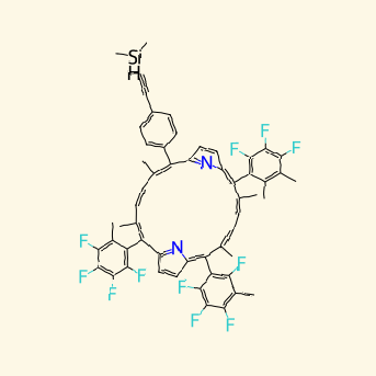 Cc1ccc(C)c(-c2c(C)c(F)c(F)c(F)c2F)c2nc(c(-c3c(F)c(C)c(F)c(F)c3F)c(C)ccc(C)c(-c3c(C)c(C)c(F)c(F)c3F)c3nc(c1-c1ccc(C#C[SiH](C)C)cc1)C=C3)C=C2